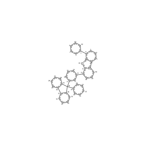 c1ccc(-c2cccc3c2oc2c(-c4cccc(C5(c6ccccc6)c6ccccc6-c6ccccc65)c4)cccc23)cc1